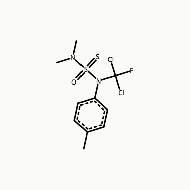 Cc1ccc(N(C(F)(Cl)Cl)S(=O)(=S)N(C)C)cc1